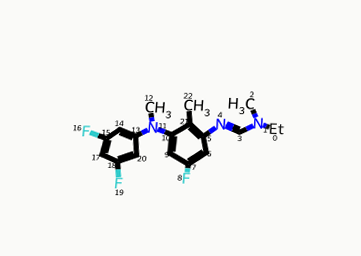 CCN(C)C=Nc1cc(F)cc(N(C)c2cc(F)cc(F)c2)c1C